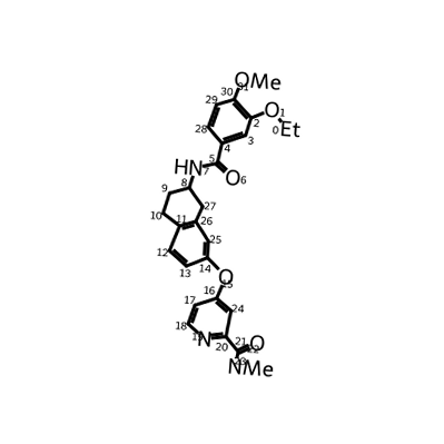 CCOc1cc(C(=O)NC2CCc3ccc(Oc4ccnc(C(=O)NC)c4)cc3C2)ccc1OC